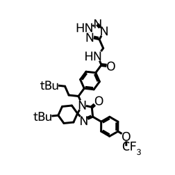 CC(C)(C)CCC(c1ccc(C(=O)NCc2nn[nH]n2)cc1)N1C(=O)C(c2ccc(OC(F)(F)F)cc2)=NC12CCC(C(C)(C)C)CC2